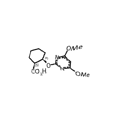 COc1cc(OC)nc(O[C@@H]2CCCC[C@@H]2C(=O)O)n1